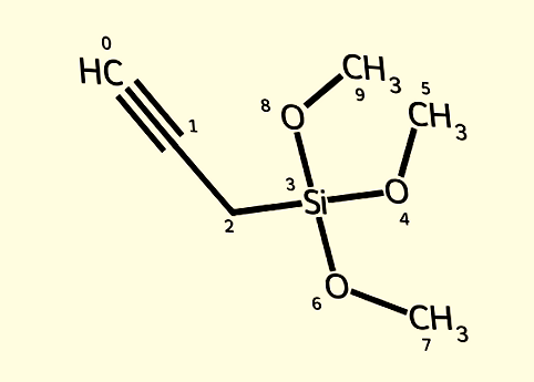 C#CC[Si](OC)(OC)OC